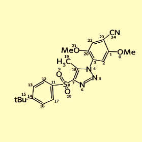 COc1cc(-n2nnc(S(=O)(=O)c3ccc(C(C)(C)C)cc3)c2C)c(OC)cc1C#N